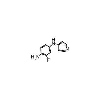 Nc1ccc(Nc2ccncc2)cc1F